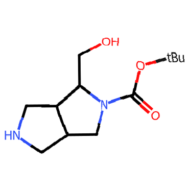 CC(C)(C)OC(=O)N1CC2CNCC2C1CO